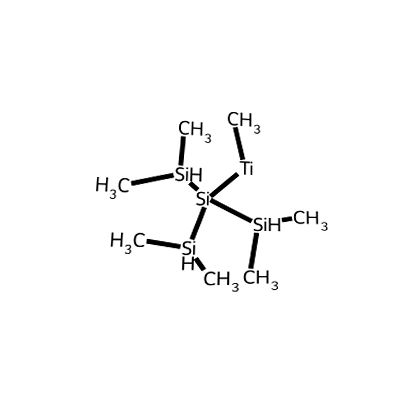 [CH3][Ti][Si]([SiH](C)C)([SiH](C)C)[SiH](C)C